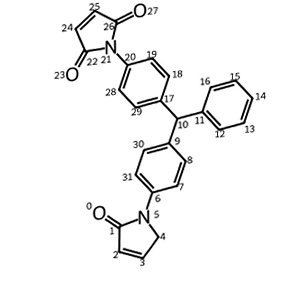 O=C1C=CCN1c1ccc(C(c2ccccc2)c2ccc(N3C(=O)C=CC3=O)cc2)cc1